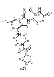 O=C1CCC(N2Cc3c(cc(F)cc3N3CCN(S(=O)(=O)c4ccc(Cl)s4)CC3)C2=O)C(=O)N1